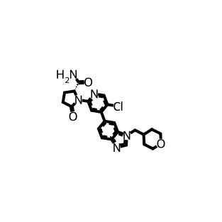 NC(=O)[C@H]1CCC(=O)N1c1cc(-c2ccc3ncn(CC4CCOCC4)c3c2)c(Cl)cn1